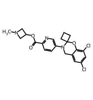 CN1CC(OC(=O)c2ccc(N3Cc4cc(Cl)cc(Cl)c4OC34CCC4)cn2)C1